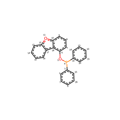 c1ccc(P(Oc2cccc3oc4ccccc4c23)c2ccccc2)cc1